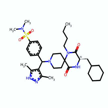 CCCCN1C(=O)[C@H](CC2CCCCC2)NC(=O)C12CCN(C(c1ccc(S(=O)(=O)N(C)C)cc1)c1c(C)n[nH]c1C)CC2